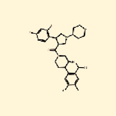 CCC(NC(C)=O)c1cc(C)c(Cl)cc1C1CCN(C(=O)C2CN(C3CCOCC3)CC2c2ccc(F)cc2F)CC1